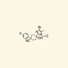 Cc1c(Br)nc(C2(O)CCC(C#N)(c3ccc(F)cc3)CC2)n1CC1CC1